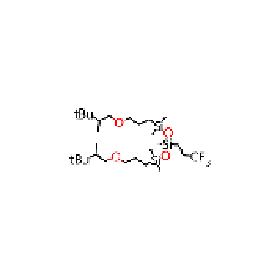 CC(COCCC[Si](C)(C)O[Si](C)(CCC(F)(F)F)O[Si](C)(C)CCCOCC(C)C(C)(C)C)C(C)(C)C